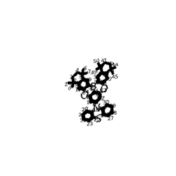 CC1(C)CCC(C)(C)c2cc3c(cc21)Oc1cc(N2c4ccccc4Sc4ccccc42)cc2c1B3c1cc3c(cc1O2)C(C)(C)CCC3(C)C